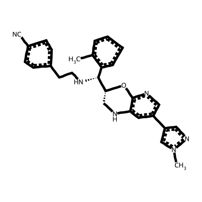 Cc1ccccc1[C@@H](NCCc1ccc(C#N)cc1)[C@H]1CNc2cc(-c3cnn(C)c3)cnc2O1